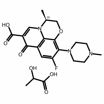 CC(O)C(=O)O.C[C@H]1COc2c(N3CCN(C)CC3)c(F)cc3c(=O)c(C(=O)O)cn1c23